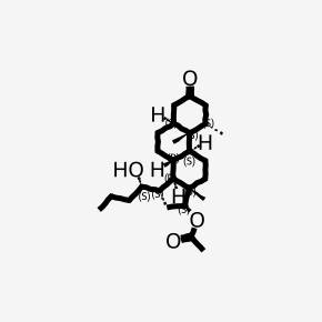 CCC[C@H](O)[C@H]1C[C@H](OC(C)=O)[C@@]2(C)CC[C@H]3[C@@H](CC[C@H]4CC(=O)C[C@H](C)[C@@]43C)[C@H]12